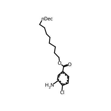 CCCCCCCCCCCCCCCCCCOC(=O)c1ccc(Cl)c(N)c1